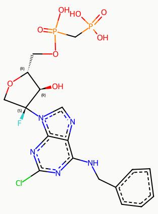 O=P(O)(O)CP(=O)(O)OC[C@H]1OC[C@@](F)(n2cnc3c(NCc4ccccc4)nc(Cl)nc32)[C@@H]1O